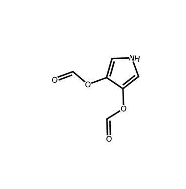 O=COc1c[nH]cc1OC=O